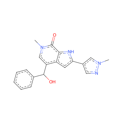 Cn1cc(-c2cc3c(C(O)c4ccccc4)cn(C)c(=O)c3[nH]2)cn1